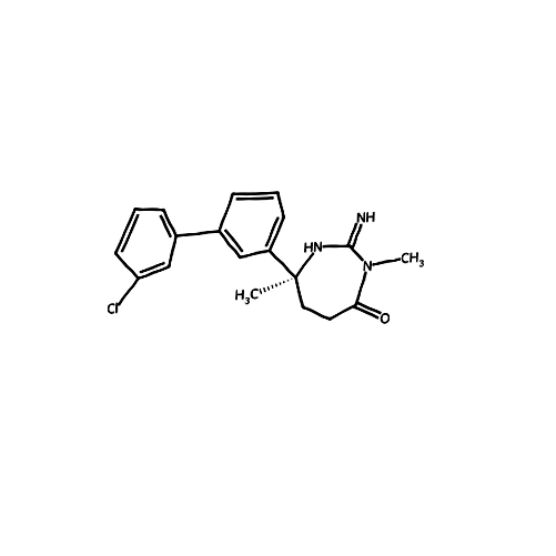 CN1C(=N)N[C@](C)(c2cccc(-c3cccc(Cl)c3)c2)CCC1=O